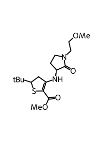 COCCN1CC[C@H](NC2=C(C(=O)OC)SC(C(C)(C)C)C2)C1=O